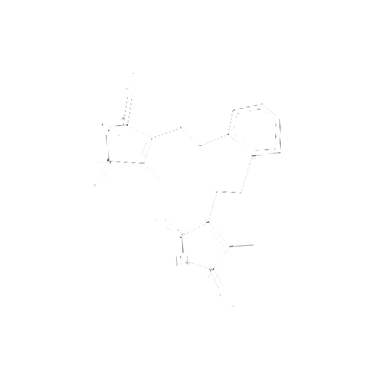 CC1=C(CCc2ccccc2CCC2=C(C)C(=O)NC2=O)C(=O)NC1=O